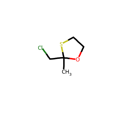 CC1(CCl)OCCS1